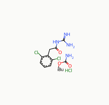 CCC(C)OC(N)=O.Cl.N=C(N)NC(=O)Cc1c(Cl)cccc1Cl